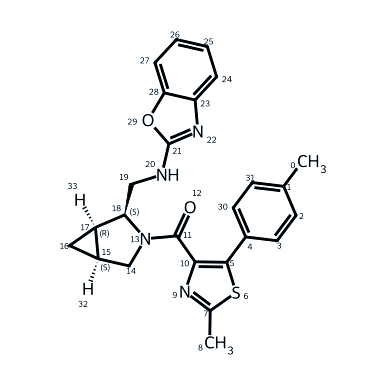 Cc1ccc(-c2sc(C)nc2C(=O)N2C[C@H]3C[C@H]3[C@H]2CNc2nc3ccccc3o2)cc1